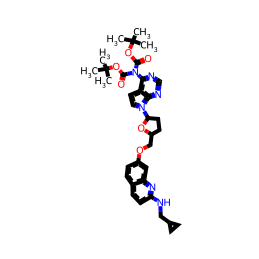 CC(C)(C)OC(=O)N(C(=O)OC(C)(C)C)c1ncnc2c1ccn2C1CCC(COc2ccc3ccc(NCC4CC4)nc3c2)O1